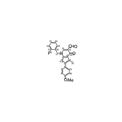 COc1ccc(-c2sc3c(c2C)c(=O)c(C=O)cn3Cc2ccccc2F)cc1